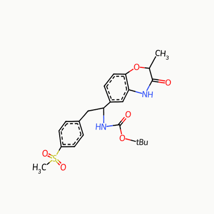 CC1Oc2ccc(C(Cc3ccc(S(C)(=O)=O)cc3)NC(=O)OC(C)(C)C)cc2NC1=O